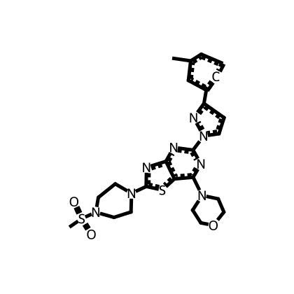 Cc1cccc(-c2ccn(-c3nc(N4CCOCC4)c4sc(N5CCN(S(C)(=O)=O)CC5)nc4n3)n2)c1